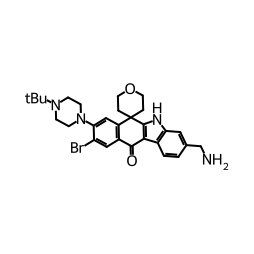 CC(C)(C)N1CCN(c2cc3c(cc2Br)C(=O)c2c([nH]c4cc(CN)ccc24)C32CCOCC2)CC1